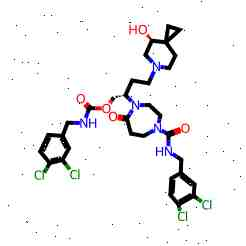 O=C(NCc1ccc(Cl)c(Cl)c1)OC[C@H](CCN1CCC2(CC2)[C@H](O)C1)N1CCN(C(=O)NCc2ccc(Cl)c(Cl)c2)CCC1=O